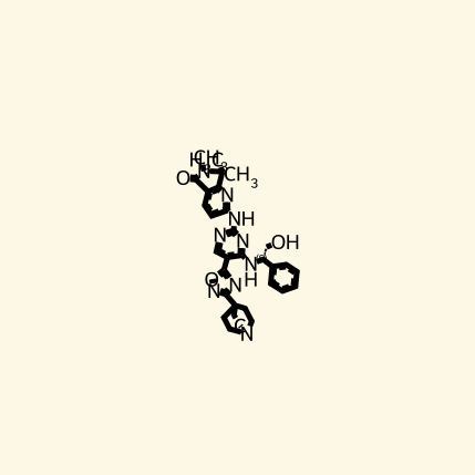 CN1C(=O)c2ccc(Nc3ncc(-c4nc(C56CCN(CC5)CC6)no4)c(N[C@H](CO)c4ccccc4)n3)nc2C1(C)C